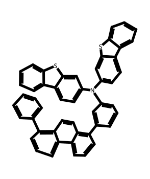 c1ccc(-c2cccc3c2ccc2c(-c4cccc(N(c5ccc6c(c5)sc5ccccc56)c5ccc6c(c5)sc5ccccc56)c4)cccc23)cc1